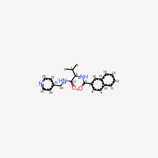 CC(C)C(NC(=O)c1ccc2ccccc2c1)C(=O)NCc1ccncc1